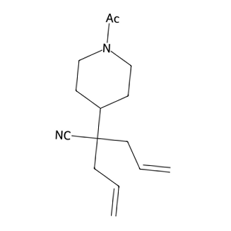 C=CCC(C#N)(CC=C)C1CCN(C(C)=O)CC1